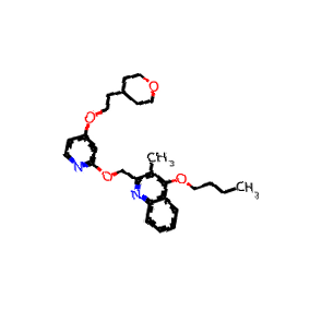 CCCCOc1c(C)c(COc2cc(OCCC3CCOCC3)ccn2)nc2ccccc12